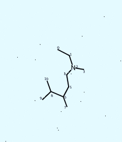 CCN(C)CCC(C)C(C)C